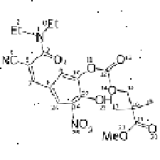 CCN(CC)C(=O)C(C#N)=Cc1cc(OC(=O)OCC(C)(C)C(=O)OC)c(O)c([N+](=O)[O-])c1